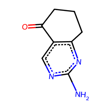 Nc1ncc2c(n1)CCCC2=O